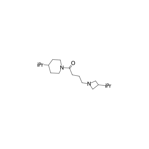 CC(C)C1CCN(C(=O)CCCN2CC(C(C)C)C2)CC1